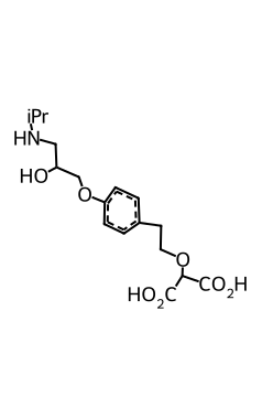 CC(C)NCC(O)COc1ccc(CCOC(C(=O)O)C(=O)O)cc1